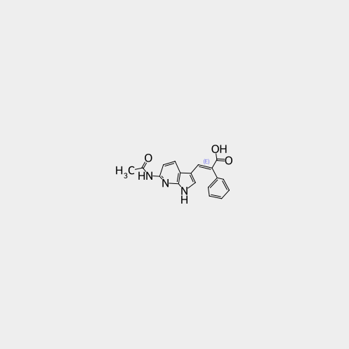 CC(=O)Nc1ccc2c(/C=C(/C(=O)O)c3ccccc3)c[nH]c2n1